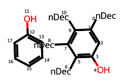 CCCCCCCCCCc1cc(O)c(CCCCCCCCCC)c(CCCCCCCCCC)c1CCCCCCCCCC.Oc1ccccc1